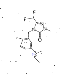 C/C=C(\C)c1ccc(C)c(Cn2c(C(F)F)nn(C)c2=O)c1